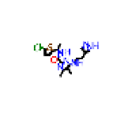 Cc1nc(C(=O)NC(C)c2ccc(Cl)s2)nc(NCCc2cn[nH]c2)c1C